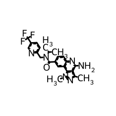 Cc1nn(C)c2c1c(N)nc1ccc(C(=O)N(Cc3ccc(C(F)(F)F)cn3)C(C)C)cc12